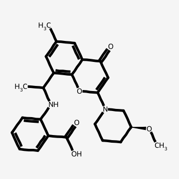 CO[C@H]1CCCN(c2cc(=O)c3cc(C)cc(C(C)Nc4ccccc4C(=O)O)c3o2)C1